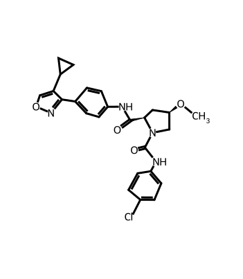 CO[C@@H]1C[C@H](C(=O)Nc2ccc(-c3nocc3C3CC3)cc2)N(C(=O)Nc2ccc(Cl)cc2)C1